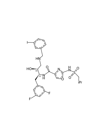 CC(C)CS(=O)(=O)Nc1nc(C(=O)N[C@@H](Cc2cc(F)cc(F)c2)[C@@H](O)CNCc2cccc(I)c2)co1